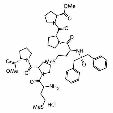 COC(=O)[C@@H]1CCCN1C(=O)[C@@H]1CCCN1C(=O)[C@@H](N)CCSC.COC(=O)[C@@H]1CCCN1C(=O)[C@@H]1CCCN1C(=O)[C@H](CCSC)NP(=O)(Cc1ccccc1)Cc1ccccc1.Cl